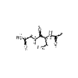 CC(=O)NC(CS)C(=O)NCC(=O)O